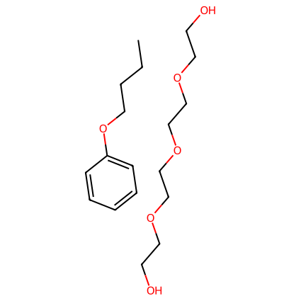 CCCCOc1ccccc1.OCCOCCOCCOCCO